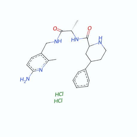 Cc1nc(N)ccc1CNC(=O)[C@H](C)NC(=O)C1CC(c2ccccc2)CCN1.Cl.Cl